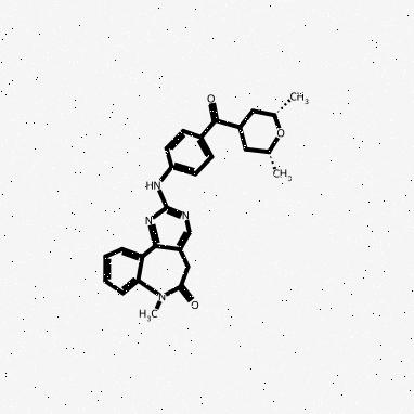 C[C@@H]1CC(C(=O)c2ccc(Nc3ncc4c(n3)-c3ccccc3N(C)C(=O)C4)cc2)C[C@H](C)O1